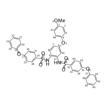 COc1ccc(Oc2ccc(NS(=O)(=O)c3ccc(Oc4ccccc4)cc3)c(NS(=O)(=O)c3ccc(Oc4ccccc4)cc3)c2)cc1